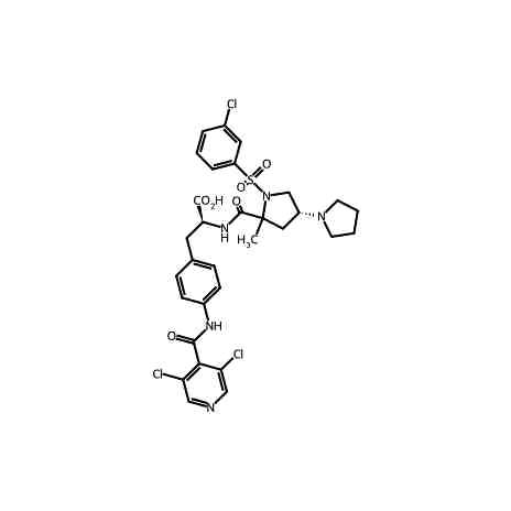 CC1(C(=O)N[C@@H](Cc2ccc(NC(=O)c3c(Cl)cncc3Cl)cc2)C(=O)O)C[C@@H](N2CCCC2)CN1S(=O)(=O)c1cccc(Cl)c1